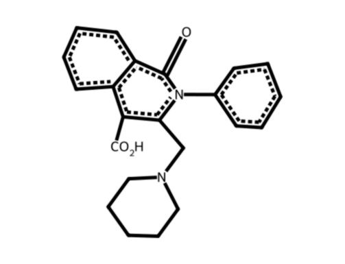 O=C(O)c1c(CN2CCCCC2)n(-c2ccccc2)c(=O)c2ccccc12